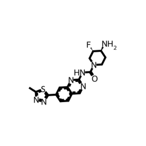 Cc1nnc(-c2ccc3cnc(NC(=O)N4CC[C@H](N)[C@@H](F)C4)nc3c2)s1